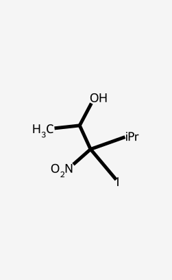 CC(C)C(I)(C(C)O)[N+](=O)[O-]